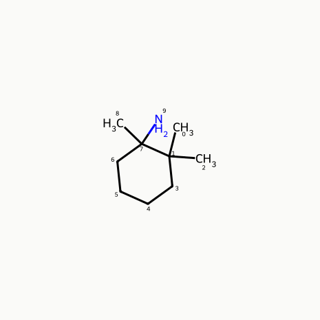 CC1(C)CCCCC1(C)N